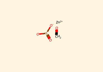 C=O.O=S([O-])[O-].[Zn+2]